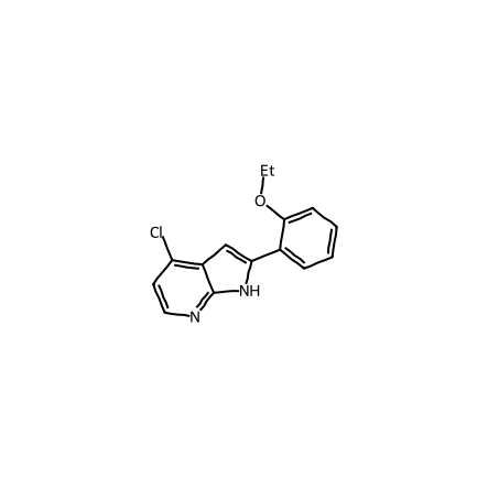 CCOc1ccccc1-c1cc2c(Cl)ccnc2[nH]1